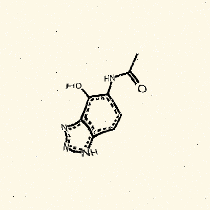 CC(=O)Nc1ccc2[nH]nnc2c1O